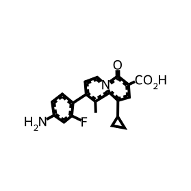 Cc1c(-c2ccc(N)cc2F)ccn2c(=O)c(C(=O)O)cc(C3CC3)c12